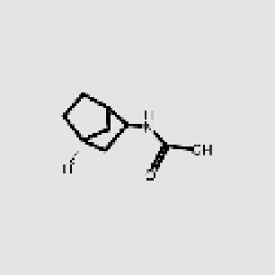 O=C(O)NC1C[C@H]2CCC1C2